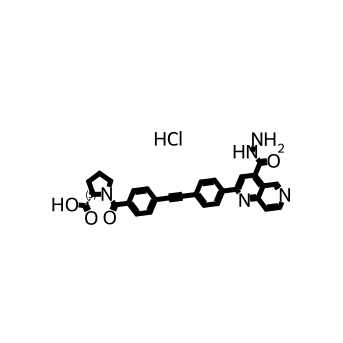 Cl.NNC(=O)c1cc(-c2ccc(C#Cc3ccc(C(=O)N4CCC[C@H]4C(=O)O)cc3)cc2)nc2ccncc12